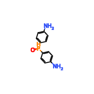 Nc1ccc([PH](=O)c2ccc(N)cc2)cc1